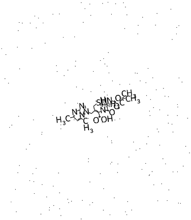 CC1=CC(C)=NC2=NCN(CC3=C(C(=O)O)N4C(=O)[C@@H](NC(=O)OC(C)(C)C)[C@@H]4SC3)N12